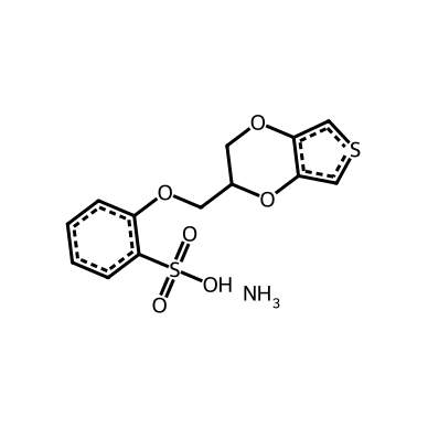 N.O=S(=O)(O)c1ccccc1OCC1COc2cscc2O1